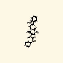 Cn1c(Nc2ccncn2)nc2c1c(=O)n(Cc1cc3ccccc3[nH]1)c(=O)n2C